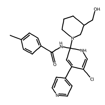 Cc1ccc(C(=O)NC2(N3CCCC(CO)C3)C=C(c3ccncc3)C(Cl)=CN2)cc1